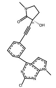 CN1CC[C@@](O)(C#Cc2cccc(-c3nc(Cl)nc4c3ccn4C)c2)C1=O